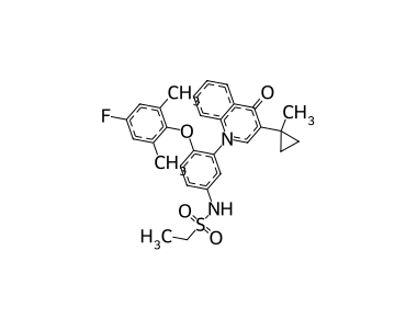 CCS(=O)(=O)Nc1ccc(Oc2c(C)cc(F)cc2C)c(-n2cc(C3(C)CC3)c(=O)c3ccccc32)c1